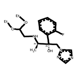 CCOC(CN[C@H](C)[C@](O)(Cn1cncn1)c1ccccc1F)OCC